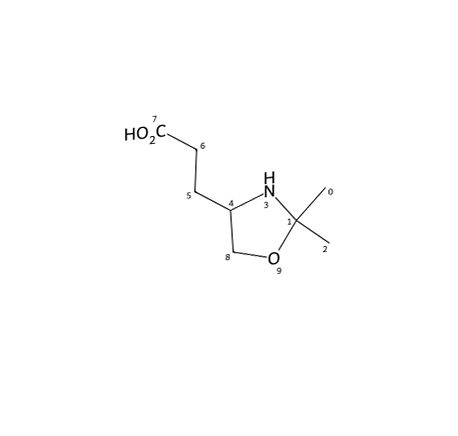 CC1(C)NC(CCC(=O)O)CO1